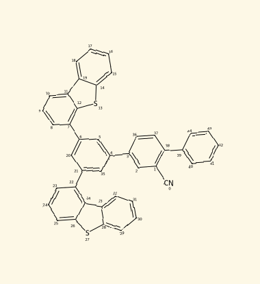 N#Cc1cc(-c2cc(-c3cccc4c3sc3ccccc34)cc(-c3cccc4sc5ccccc5c34)c2)ccc1-c1ccccc1